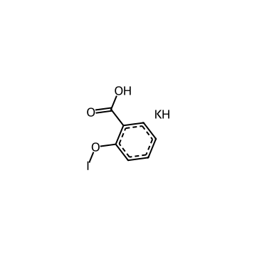 O=C(O)c1ccccc1OI.[KH]